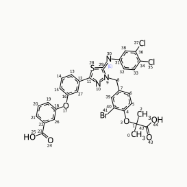 CC(C)(Oc1ccc(Cn2nc(-c3cccc(Oc4cccc(C(=O)O)c4)c3)s/c2=N/c2ccc(Cl)c(Cl)c2)cc1Br)C(=O)O